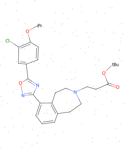 CC(C)Oc1ccc(-c2nc(-c3cccc4c3CCN(CCC(=O)OC(C)(C)C)CC4)no2)cc1Cl